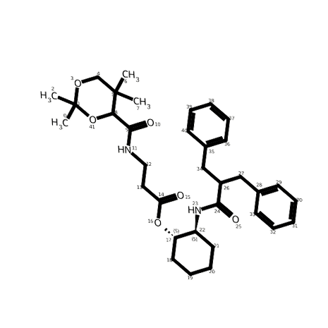 CC1(C)OCC(C)(C)C(C(=O)NCCC(=O)O[C@H]2CCCC[C@@H]2NC(=O)C(Cc2ccccc2)Cc2ccccc2)O1